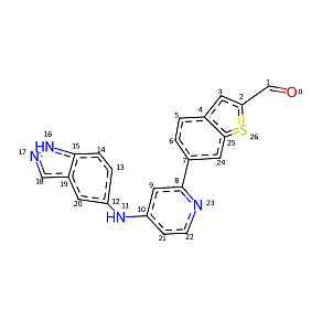 O=Cc1cc2ccc(-c3cc(Nc4ccc5[nH]ncc5c4)ccn3)cc2s1